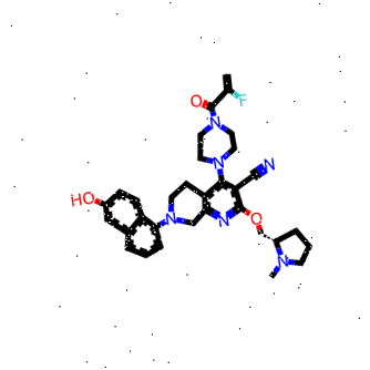 C=C(F)C(=O)N1CCN(c2c(C#N)c(OC[C@@H]3CCCN3C)nc3c2CCN(c2cccc4cc(O)ccc24)C3)CC1